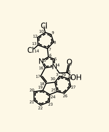 O=C(O)Cn1cc(-c2ccc(Cl)cc2Cl)nc1C=C1c2ccccc2-c2ccccc21